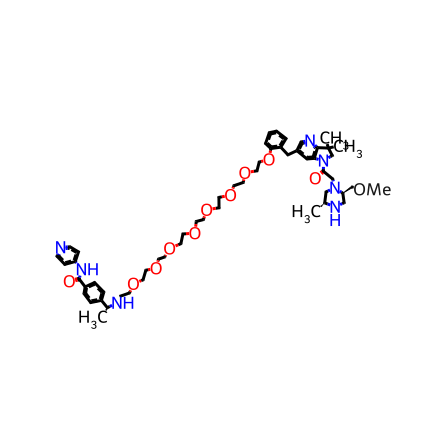 COC[C@H]1CN[C@H](C)CN1CC(=O)N1CC(C)(C)c2ncc(Cc3ccccc3OCCOCCOCCOCCOCCOCCOCCOCCN[C@H](C)c3ccc(C(=O)Nc4ccncc4)cc3)cc21